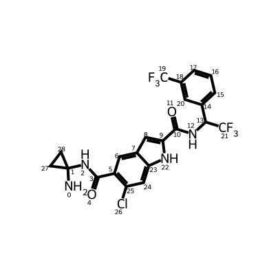 NC1(NC(=O)c2cc3cc(C(=O)NC(c4cccc(C(F)(F)F)c4)C(F)(F)F)[nH]c3cc2Cl)CC1